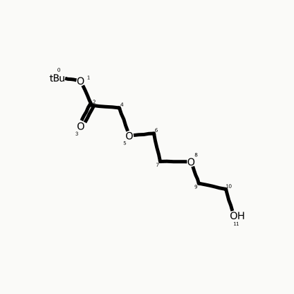 CC(C)(C)OC(=O)COCCOCCO